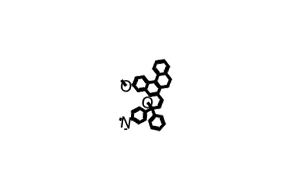 COc1ccc2c3c(c4c(c2c1)OC(c1ccccc1)(c1ccc(N(C)C)cc1)C=C4)CCc1ccccc1-3